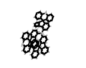 c1ccc2c(c1)Oc1ccccc1C21c2ccccc2-c2c(N(c3ccc4c(c3)C3(c5ccccc5-c5ccccc53)c3ccccc3-4)c3cccc4c3-c3ccccc3C43c4ccccc4Oc4ccccc43)cccc21